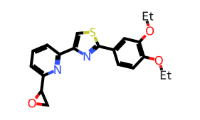 CCOc1ccc(-c2nc(-c3cccc(C4CO4)n3)cs2)cc1OCC